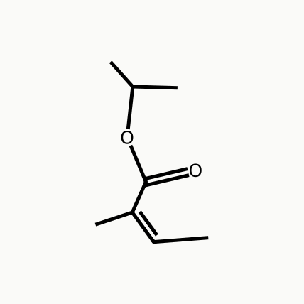 CC=C(C)C(=O)OC(C)C